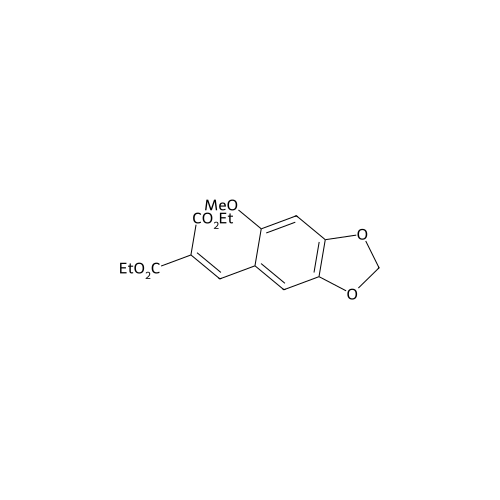 CCOC(=O)C(=Cc1cc2c(cc1OC)OCO2)C(=O)OCC